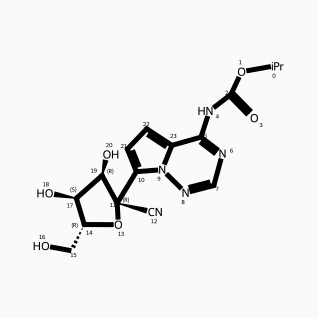 CC(C)OC(=O)Nc1ncnn2c([C@]3(C#N)O[C@H](CO)[C@@H](O)[C@H]3O)ccc12